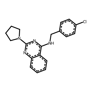 Clc1ccc(CNc2nc(N3CCCC3)nc3ccccc23)cc1